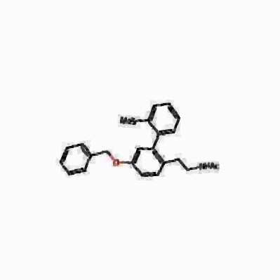 CSc1ccccc1-c1cc(OCc2ccccc2)ccc1CCNC(C)=O